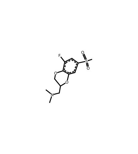 CN(C)CC1COc2c(F)cc(S(C)(=O)=O)cc2O1